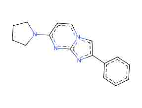 c1ccc(-c2cn3ccc(N4CCCC4)nc3n2)cc1